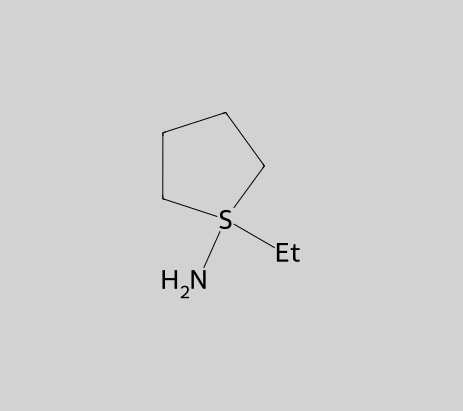 CCS1(N)CCCC1